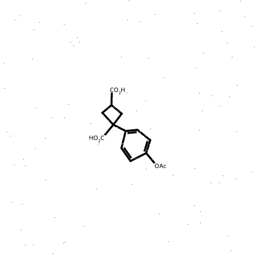 CC(=O)Oc1ccc(C2(C(=O)O)CC(C(=O)O)C2)cc1